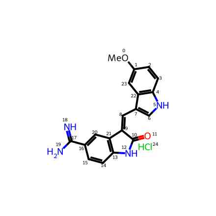 COc1ccc2[nH]cc(C=C3C(=O)Nc4ccc(C(=N)N)cc43)c2c1.Cl